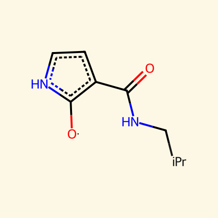 CC(C)CNC(=O)c1cc[nH]c1[O]